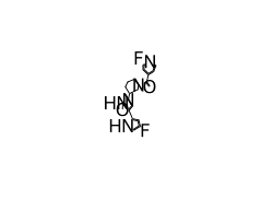 O=C(c1ccnc(F)c1)N1CCCC(N2C=C(c3cc(F)c[nH]3)ON2)C1